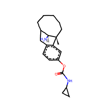 C[C@@]12CCCCCC(Cc3ccc(OC(=O)NC4CC4)cc31)[C@@H]2N